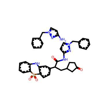 Nc1ccn(Cc2ccccc2)n1.O=C1CCC(CC(C(=O)Nc2ccn(Cc3ccccc3)n2)c2ccc3c(c2)Nc2ccccc2S3(=O)=O)C1